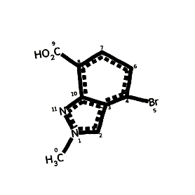 Cn1cc2c(Br)ccc(C(=O)O)c2n1